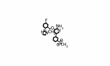 C[C@@H](Oc1cc(-c2cccc(S(C)(=O)=O)c2)cnc1N)c1cc(F)ccc1-n1nccn1